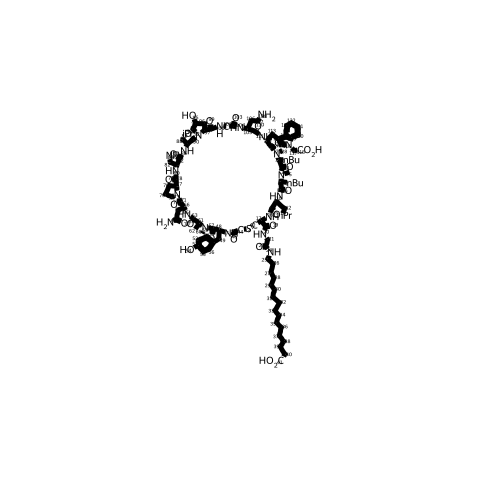 CCCCC1C(=O)N(C)C(CCCC)C(=O)NC(CC(C)C)C(=O)NC(C(=O)NCC(=O)NCCCCCCCCCCCCCCCCC(=O)O)CSCC(=O)NC(Cc2ccc(O)cc2)C(=O)N(C)C(C)C(=O)NC(CC(N)=O)C(=O)N2CCCC2C(=O)NC(CN)C(=O)NC(CC(C)C)C(=O)N2CC(O)CC2C(=O)NCC(=O)NC(CCN)C(=O)NC(Cc2cn(CC(=O)O)c3ccccc23)C(=O)N1C